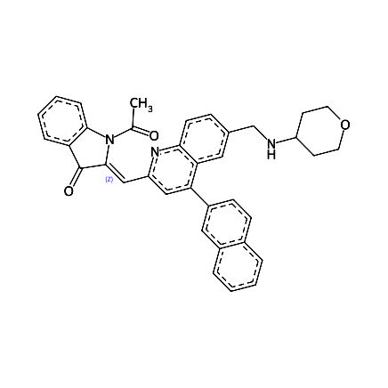 CC(=O)N1/C(=C\c2cc(-c3ccc4ccccc4c3)c3cc(CNC4CCOCC4)ccc3n2)C(=O)c2ccccc21